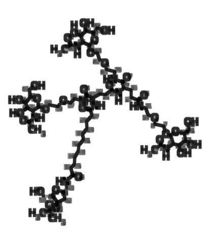 CC(=O)NC1C(OCCOCCNC(=O)CCC(NC(=O)CCC(NC(=O)CCCCCCCCCCC(=O)NC[C@@H]2C[C@@H](OC(C)(C)C)[C@H](CO)O2)C(=O)NCCOCCOC2OC(CO)C(O)C(O)C2NC(C)=O)C(=O)NCCOCCOC2O[C@H](CO)C(O)C(O)C2NC(C)=O)OC(CO)C(O)C1O